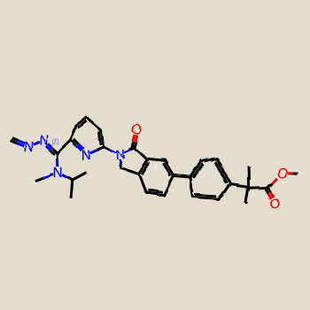 C=N/N=C(/c1cccc(N2Cc3ccc(-c4ccc(C(C)(C)C(=O)OC)cc4)cc3C2=O)n1)N(C)C(C)C